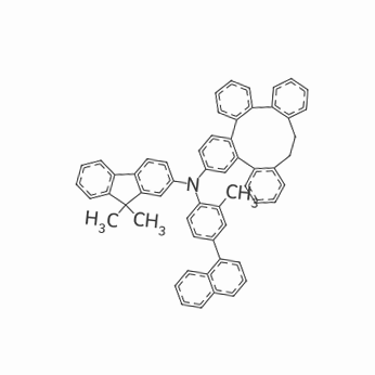 Cc1cc(-c2cccc3ccccc23)ccc1N(c1ccc2c(c1)-c1ccccc1CCc1ccccc1-c1ccccc1-2)c1ccc2c(c1)C(C)(C)c1ccccc1-2